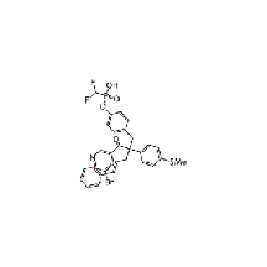 CSc1ccc(C(CC=Cc2ccccc2)(Cc2ccc(OP(=O)(O)C(F)F)cc2)C(=O)c2cncc(Br)c2)cc1